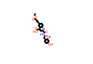 CCOC(=O)C#Cc1ccc2nc(C(=O)N[C@H](COC)Cc3ccc(O)cc3)cc(C(=O)O)c2c1